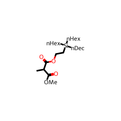 CCCCCCCCCC[Si](CCCCCC)(CCCCCC)CCOC(=O)C(C)C(=O)OC